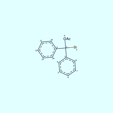 CC(=O)OC(Br)(c1ccccc1)c1ccccc1